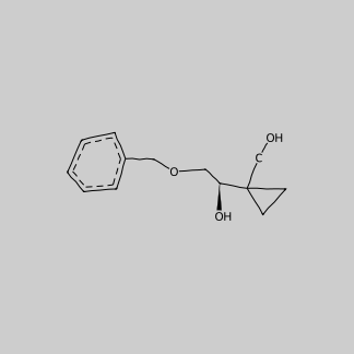 OCC1([C@@H](O)COCc2ccccc2)CC1